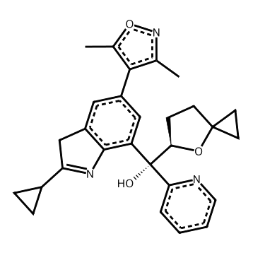 Cc1noc(C)c1-c1cc2c(c([C@](O)(c3ccccn3)[C@H]3CCC4(CC4)O3)c1)N=C(C1CC1)C2